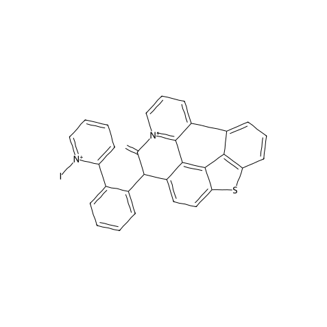 C=C1C(c2ccccc2-c2cccc[n+]2I)c2ccc3sc4cccc5c6ccc[n+]1c6c2c3c45